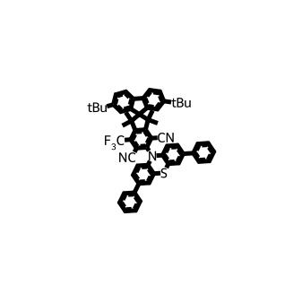 CC(C)(C)c1ccc2c(c1)C1(c3cc(C(C)(C)C)ccc3-2)C(C)(C)c2c(C#N)c(N3c4ccc(-c5ccccc5)cc4Sc4cc(-c5ccccc5)ccc43)c(C#N)c(C(F)(F)F)c2C1(C)C